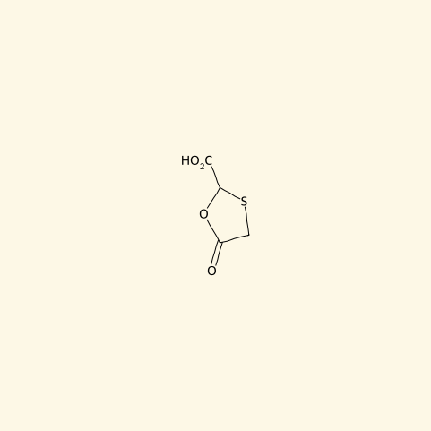 O=C1CSC(C(=O)O)O1